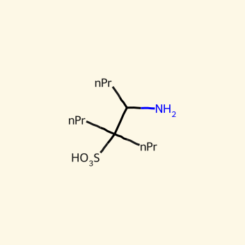 CCCC(N)C(CCC)(CCC)S(=O)(=O)O